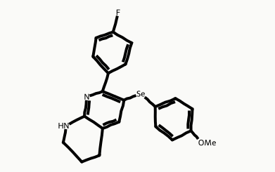 COc1ccc([Se]c2cc3c(nc2-c2ccc(F)cc2)NCCC3)cc1